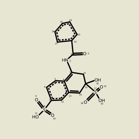 O=C(NC1=c2ccc(S(=O)(=O)O)cc2=CC(O)(S(=O)(=O)O)C1)c1ccccc1